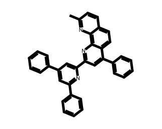 Cc1ccc2ccc3c(-c4ccccc4)cc(-c4cc(-c5ccccc5)cc(-c5ccccc5)n4)nc3c2n1